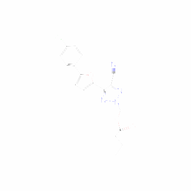 CCCC(=O)OCn1nc(C#N)c(-c2ccc(-c3ccc(Cl)cc3)o2)n1